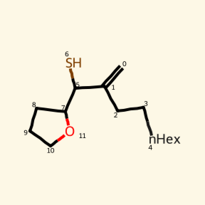 C=C(CCCCCCCC)C(S)C1CCCO1